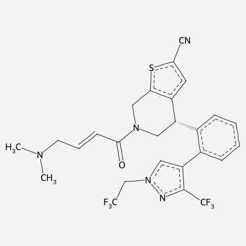 CN(C)C/C=C/C(=O)N1Cc2sc(C#N)cc2[C@H](c2ccccc2-c2cn(CC(F)(F)F)nc2C(F)(F)F)C1